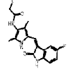 Cc1[nH]c(/C=C2\C(=O)Nc3ccc(F)cc32)c(C)c1NC(=O)CCl